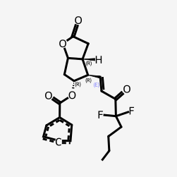 CCCCC(F)(F)C(=O)/C=C/[C@H]1[C@H](OC(=O)c2ccccc2)CC2OC(=O)C[C@@H]21